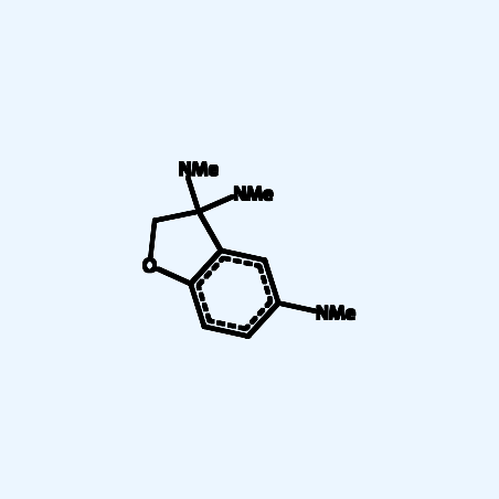 CNc1ccc2c(c1)C(NC)(NC)CO2